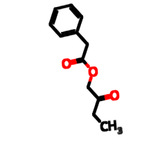 CCC(=O)COC(=O)Cc1ccccc1